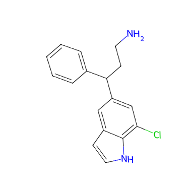 NCCC(c1ccccc1)c1cc(Cl)c2[nH]ccc2c1